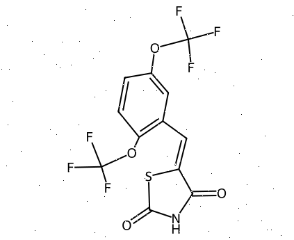 O=C1NC(=O)C(=Cc2cc(OC(F)(F)F)ccc2OC(F)(F)F)S1